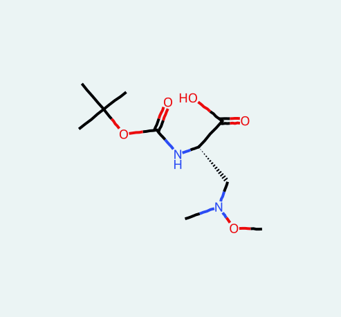 CON(C)C[C@H](NC(=O)OC(C)(C)C)C(=O)O